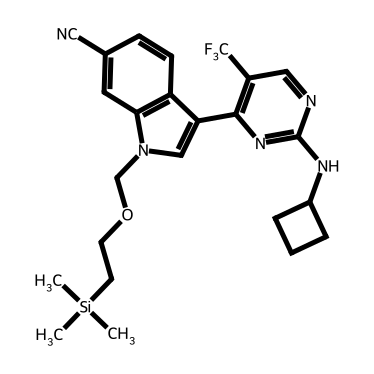 C[Si](C)(C)CCOCn1cc(-c2nc(NC3CCC3)ncc2C(F)(F)F)c2ccc(C#N)cc21